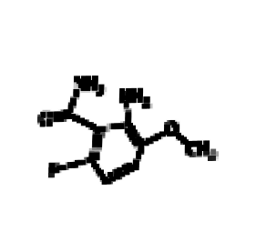 COc1ccc(F)c(C(N)=O)c1N